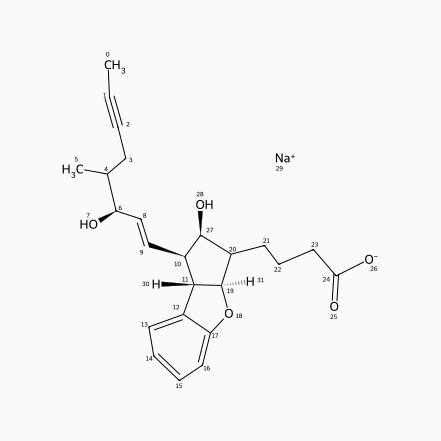 CC#CCC(C)[C@H](O)/C=C/[C@@H]1[C@H]2c3ccccc3O[C@@H]2C(CCCC(=O)[O-])[C@@H]1O.[Na+]